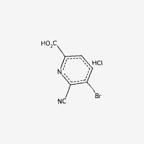 Cl.N#Cc1nc(C(=O)O)ccc1Br